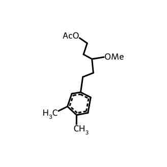 COC(CCOC(C)=O)CCc1ccc(C)c(C)c1